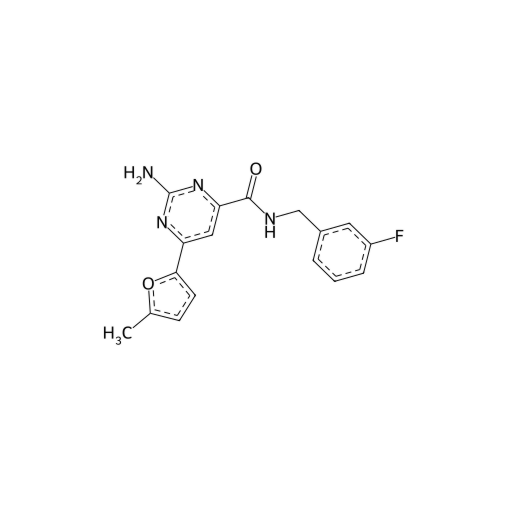 Cc1ccc(-c2cc(C(=O)NCc3cccc(F)c3)nc(N)n2)o1